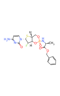 C[C@H](NP1(=O)OC[C@H]2S[C@@H](n3ccc(N)nc3=O)C(F)[C@@H]2O1)C(=O)OCc1ccccc1